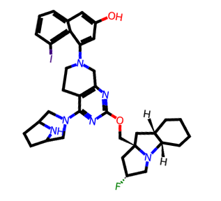 Oc1cc(N2CCc3c(nc(OC[C@]45C[C@@H](F)CN4[C@H]4CCCC[C@H]4C5)nc3N3CC4CCC(C3)N4)C2)c2c(I)cccc2c1